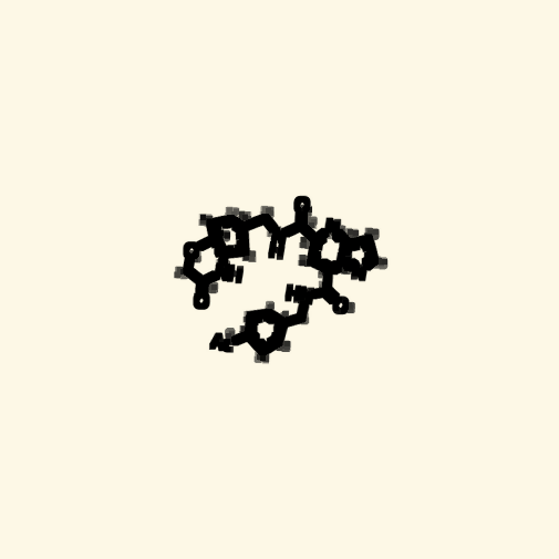 CC(=O)c1ccc(CNC(=O)c2cc(C(=O)NCc3ccc4c(c3)NC(=O)CO4)nc3ccnn23)cc1